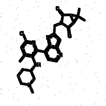 Cc1cc(Cl)nc(-c2ccnc3cc(CN4C(=O)C5C(C4=O)C5(C)C)sc23)c1NC1CCCN(C)C1